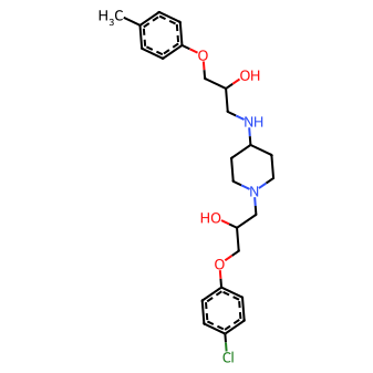 Cc1ccc(OCC(O)CNC2CCN(CC(O)COc3ccc(Cl)cc3)CC2)cc1